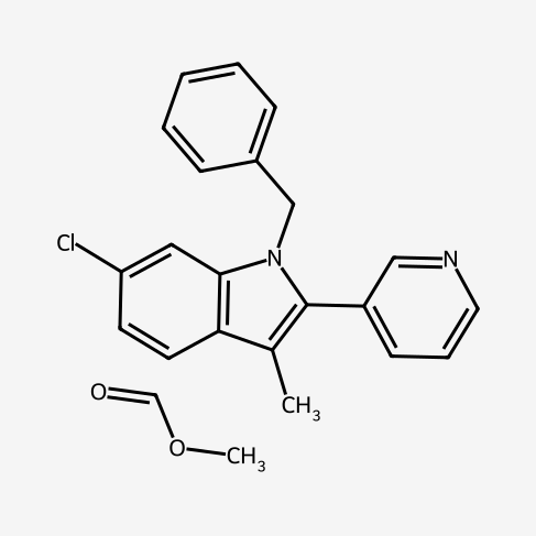 COC=O.Cc1c(-c2cccnc2)n(Cc2ccccc2)c2cc(Cl)ccc12